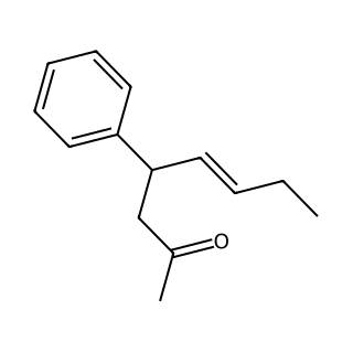 CC/C=C/C(CC(C)=O)c1ccccc1